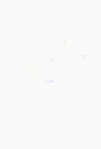 O=C(Nc1nc(Cl)c([N+](=O)[O-])s1)c1ccccc1